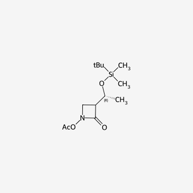 CC(=O)ON1CC([C@@H](C)O[Si](C)(C)C(C)(C)C)C1=O